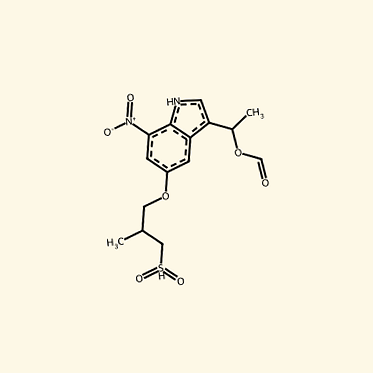 CC(COc1cc([N+](=O)[O-])c2[nH]cc(C(C)OC=O)c2c1)C[SH](=O)=O